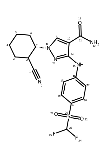 N#CC1CCCC[C@@H]1n1cc(C(N)=O)c(Nc2ccc(S(=O)(=O)C(F)F)cc2)n1